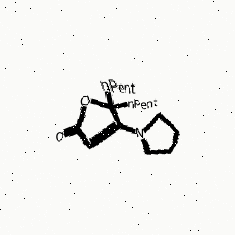 CCCCCC1(CCCCC)OC(=O)C=C1N1CCCC1